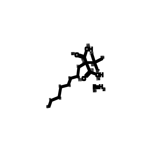 CCCCCCCCC(C(=O)O)(C(=O)O)C(C)(C)C.[BaH2]